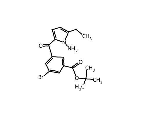 CCc1ccc(C(=O)c2cc(Br)cc(C(=O)OC(C)(C)C)c2)n1N